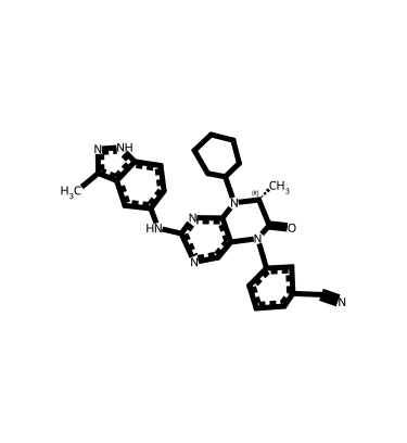 Cc1n[nH]c2ccc(Nc3ncc4c(n3)N(C3CCCCC3)[C@H](C)C(=O)N4c3cccc(C#N)c3)cc12